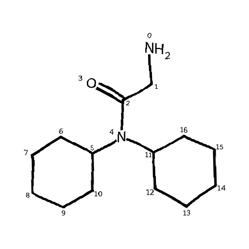 NCC(=O)N(C1CCCCC1)C1CCCCC1